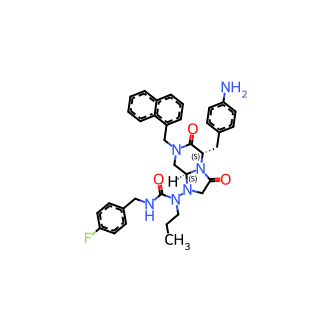 CCCN(C(=O)NCc1ccc(F)cc1)N1CC(=O)N2[C@@H](Cc3ccc(N)cc3)C(=O)N(Cc3cccc4ccccc34)C[C@@H]21